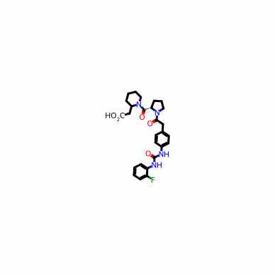 O=C(O)CC1CCCCN1C(=O)[C@@H]1CCCN1C(=O)Cc1ccc(NC(=O)Nc2ccccc2F)cc1